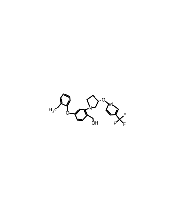 Cc1ccccc1Oc1ccc(CO)c(N2CC[C@H](Oc3ccc(C(F)(F)F)cn3)C2)c1